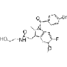 COc1cc2c(CC(=O)NCCO)c(C)n(C(=O)c3ccc(Br)cc3)c2cc1F